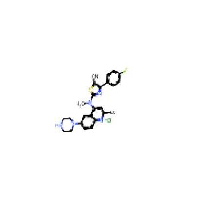 CCc1cc(N(C)c2nc(-c3ccc(F)cc3)c(C#N)s2)c2cc(N3CCNCC3)ccc2n1.Cl